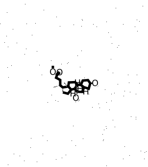 COC(=O)CC[C@@H](C)[C@H]1CC[C@H]2[C@@H]3[C@@H](OC)C[C@@H]4C[C@H](OC)CC[C@]4(C)[C@H]3CC[C@]12C